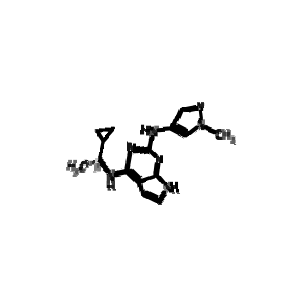 C[C@@H](Nc1nc(Nc2cnn(C)c2)nc2[nH]ccc12)C1CC1